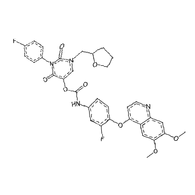 COc1cc2nccc(Oc3ccc(NC(=O)Oc4cn(CC5CCCO5)c(=O)n(-c5ccc(F)cc5)c4=O)cc3F)c2cc1OC